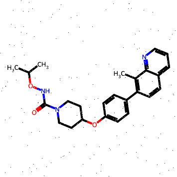 Cc1c(-c2ccc(OC3CCN(C(=O)NOC(C)C)CC3)cc2)ccc2cccnc12